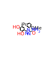 COc1ccccc1-n1c(C(N)=O)nnc1-c1cc(C(C)C)c(O)cc1O